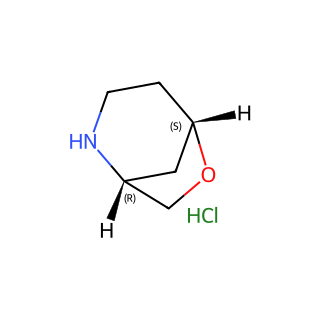 C1C[C@H]2C[C@H](CO2)N1.Cl